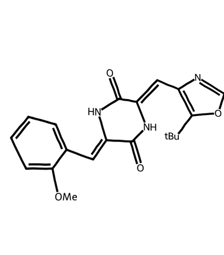 COc1ccccc1/C=c1\[nH]c(=O)/c(=C/c2ncoc2C(C)(C)C)[nH]c1=O